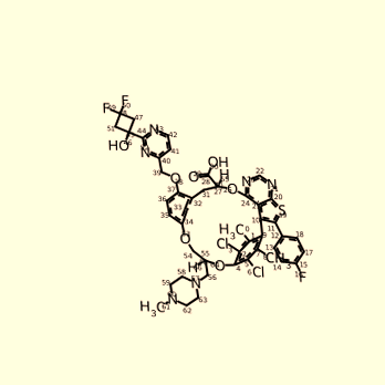 Cc1c(Cl)c2c(Cl)c(C)c1-c1c(-c3ccc(F)cc3)sc3ncnc(c13)O[C@@H](C(=O)O)Cc1cc(ccc1OCc1ccnc(C3(O)CC(F)(F)C3)n1)OC[C@@H](CN1CCN(C)CC1)O2